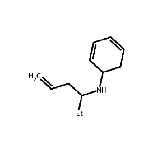 C=CCC(CC)NC1C=CC=CC1